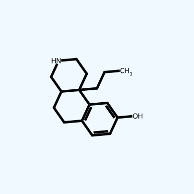 CCCC12CCNCC1CCc1ccc(O)cc12